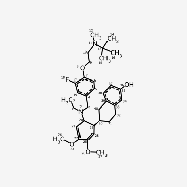 CCN(Cc1ccc(OCCN(C)C(C)(C)C)c(F)c1)C1C=C(OC)C(OC)=CC1[C@@H]1CCc2cc(O)ccc2C1